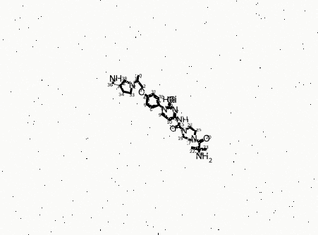 CC(COc1ccc(-n2ccc(NC(=O)N3CCN(C(=O)C(C)(C)N)CC3)nc2=O)cc1)N1CC[C@H](CN)C1.Cl